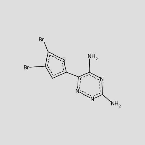 Nc1nnc(-c2cc(Br)c(Br)s2)c(N)n1